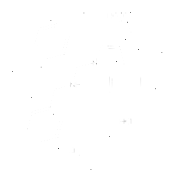 Cl.O=C(O)Cc1cn(C(NCc2cccc(C(F)(F)F)c2)c2ccccc2)c2ccccc12